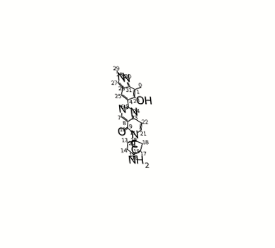 Cc1c(O)c(-c2ncc3c(=O)n(C45CCC(N)(CC4)CC5)ccc3n2)cc2cn(C)nc12